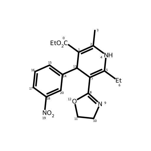 CCOC(=O)C1=C(C)NC(CC)=C(C2=NCCO2)C1c1cccc([N+](=O)[O-])c1